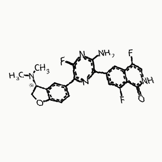 CN(C)[C@@H]1COc2ccc(-c3nc(-c4cc(F)c5c(=O)[nH]cc(F)c5c4)c(N)nc3F)cc21